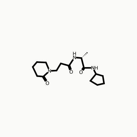 C[C@@H](NC(=O)CCN1CCCCC1=O)C(=O)NC1CCCC1